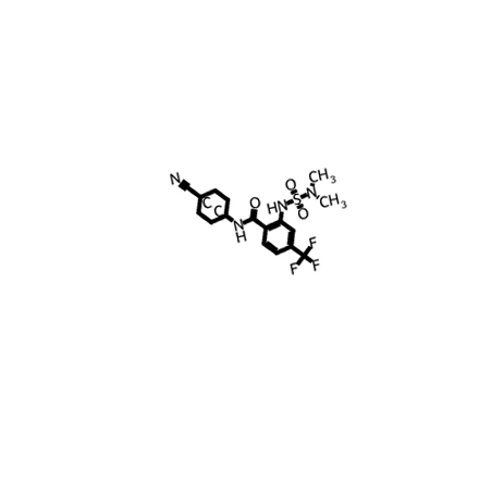 CN(C)S(=O)(=O)Nc1cc(C(F)(F)F)ccc1C(=O)NC12CCC(C#N)(CC1)CC2